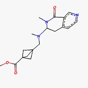 COC(=O)C12CC(CN(C)C3Cc4ccncc4C(=O)N3C)(C1)C2